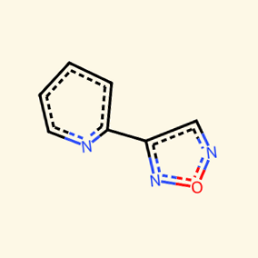 c1ccc(-c2cnon2)nc1